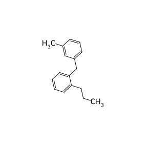 CCCc1ccccc1Cc1cccc(C)c1